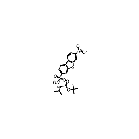 CC(C)[C@H](NS(=O)(=O)c1ccc2c(c1)sc1cc([N+](=O)[O-])ccc12)C(=O)OC(C)(C)C